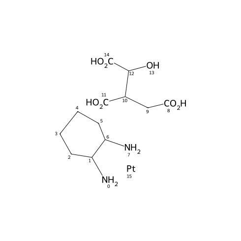 NC1CCCCC1N.O=C(O)CC(C(=O)O)C(O)C(=O)O.[Pt]